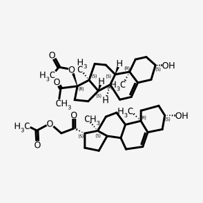 CC(=O)OCC(=O)[C@H]1CCC2C3CC=C4C[C@@H](O)CC[C@]4(C)C3CC[C@@]21C.CC(=O)O[C@]1(C(C)=O)CC[C@H]2[C@@H]3CC=C4C[C@@H](O)CC[C@]4(C)[C@H]3CC[C@@]21C